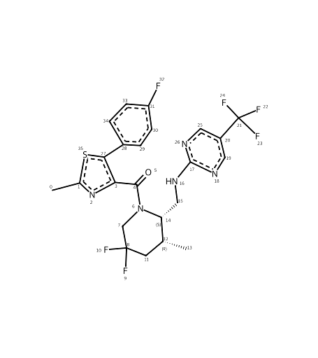 Cc1nc(C(=O)N2CC(F)(F)C[C@@H](C)[C@H]2CNc2ncc(C(F)(F)F)cn2)c(-c2ccc(F)cc2)s1